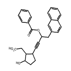 O=C(O)CC1C(O)CCC1C#CC(Cc1ccc2ccccc2c1)OC(=O)c1ccccc1